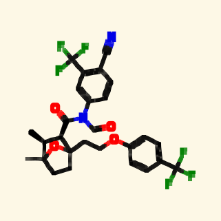 C[C@H]1[C@@H](C(=O)N(C=O)c2ccc(C#N)c(C(F)(F)F)c2)C2(CCOc3ccc(C(F)(F)F)cc3)CCC1(C)O2